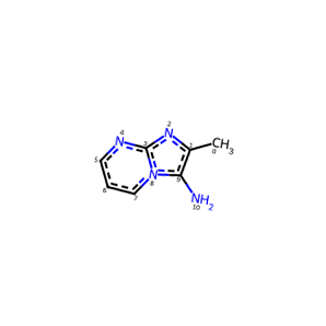 Cc1nc2ncccn2c1N